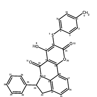 Cc1ccc(Sc2c(O)c3c(=O)n4c5c(cccc5c3oc2=O)CC4c2ccccc2)cc1